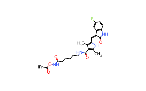 Cc1[nH]c(C=C2C(=O)Nc3ccc(F)cc32)c(C)c1C(=O)NCCCCCC(=O)NOC(=O)C(C)C